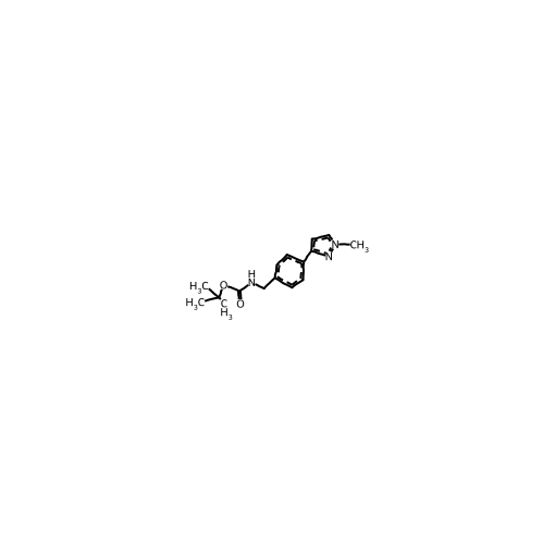 Cn1ccc(-c2ccc(CNC(=O)OC(C)(C)C)cc2)n1